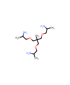 CC(N)COCC(C)(COCC(C)N)COCC(C)N